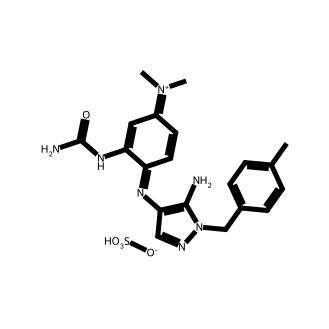 Cc1ccc(Cn2ncc(N=C3C=CC(=[N+](C)C)C=C3NC(N)=O)c2N)cc1.O=S(=O)([O-])O